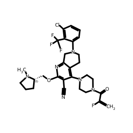 C=C(F)C(=O)N1CCN(c2c(C#N)c(OC[C@@H]3CCCN3C)nc3c2CCN(c2cccc(Cl)c2C(F)(F)F)C3)CC1